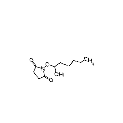 CCCCCC(O)ON1C(=O)CCC1=O